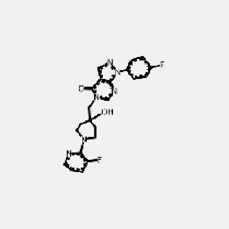 O=c1c2cnn(-c3ccc(F)cc3)c2ncn1CC1(O)CCN(c2ncccc2F)CC1